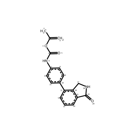 C=C(C)OC(=O)Nc1ccc(-c2cccc3c2CNC3=O)cc1